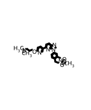 CN(C)CCCOc1ccc(-c2ccc3ncn(-c4ccc5c(c4)CN(S(C)(=O)=O)CC5)c3n2)cn1